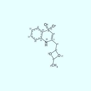 CC1OC(CC2=CS(=O)(=O)c3ccccc3N2)O1